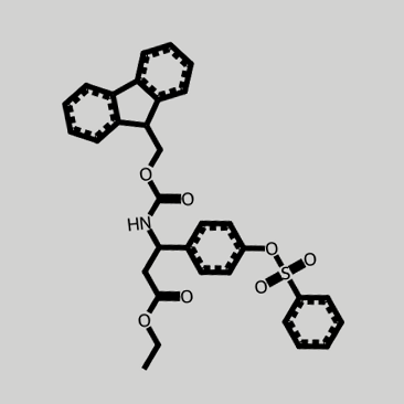 CCOC(=O)CC(NC(=O)OCC1c2ccccc2-c2ccccc21)c1ccc(OS(=O)(=O)c2ccccc2)cc1